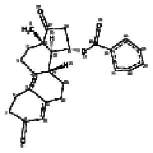 C[C@]12CCC3=C4CCC(=O)C=C4CC[C@H]3[C@@H]1[C@@H](OC(=O)c1ccccc1)CC2=O